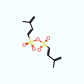 C=C(C)C=CS(=O)(=O)OS(=O)(=O)C=CC(=C)C